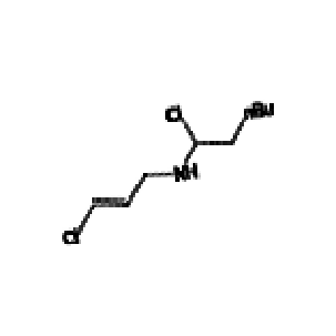 CCCCCC(Cl)NCC=CCl